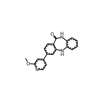 COc1cc(-c2ccc3c(c2)Nc2ccccc2NC3=O)ccn1